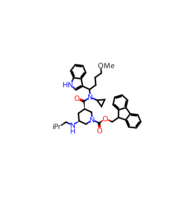 COCCCC(c1c[nH]c2ccccc12)N(C(=O)[C@@H]1C[C@H](NCC(C)C)CN(C(=O)OCC2c3ccccc3-c3ccccc32)C1)C1CC1